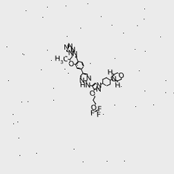 C[C@@H](Cn1cnnn1)Oc1cc(-c2cnc(Nc3cn(C4CCC(N5[C@@H]6CC[C@H]5COC6)CC4)nc3OCCCOC(F)(F)F)nc2)ccc1C#N